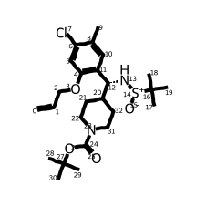 C=CCOc1cc(Cl)c(C)cc1[C@H](N[S+]([O-])C(C)(C)C)C1CCN(C(=O)OC(C)(C)C)CC1